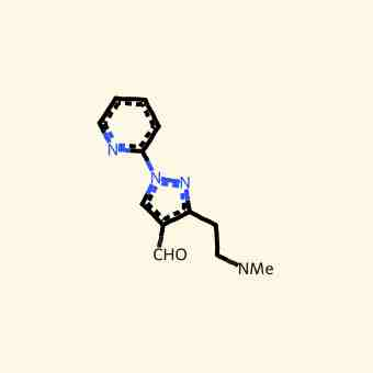 CNCCc1nn(-c2ccccn2)cc1C=O